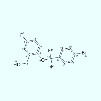 OCc1cc(F)ccc1OC(F)(F)c1ccc(Br)cc1